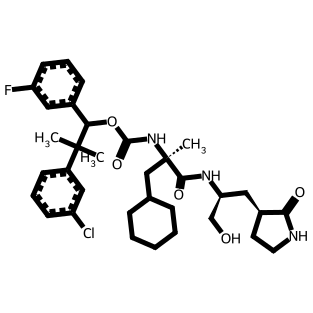 CC(C)(c1cccc(Cl)c1)C(OC(=O)N[C@](C)(CC1CCCCC1)C(=O)N[C@H](CO)C[C@@H]1CCNC1=O)c1cccc(F)c1